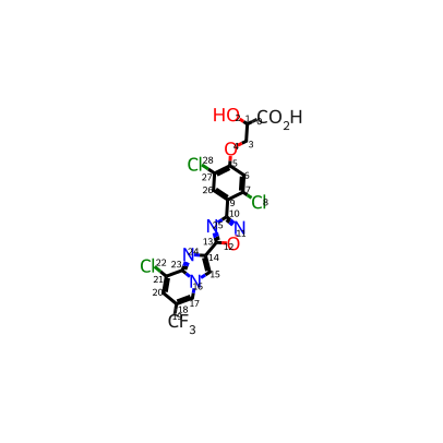 O=C(O)C(O)COc1cc(Cl)c(-c2noc(-c3cn4cc(C(F)(F)F)cc(Cl)c4n3)n2)cc1Cl